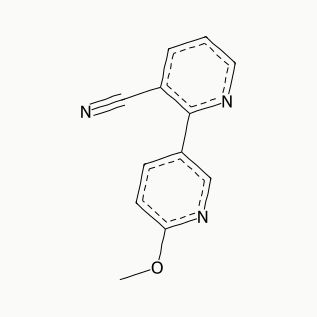 COc1ccc(-c2ncccc2C#N)cn1